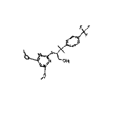 COc1cc(OC)nc(SC(CO)C(C)(C)c2ccc(C(F)(F)F)cc2)n1